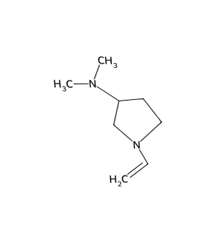 C=CN1CCC(N(C)C)C1